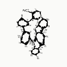 N#Cc1ccncc1-c1cccc(-c2cccc(-n3c4ccccc4c4ccc5c6ccccc6oc5c43)c2)c1